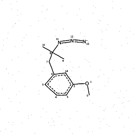 COc1cccc(CC(C)(C)N=[N+]=[N-])c1